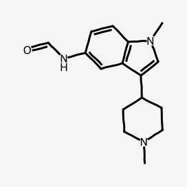 CN1CCC(c2cn(C)c3ccc(NC=O)cc23)CC1